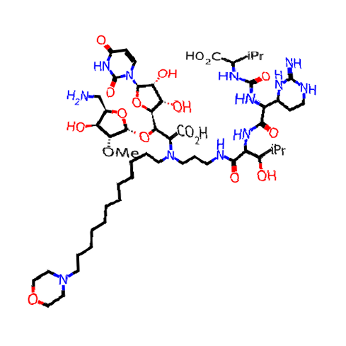 CO[C@H]1[C@@H](OC(C(C(=O)O)N(CCCCCCCCCCCCN2CCOCC2)CCCNC(=O)C(NC(=O)C(NC(=O)NC(C(=O)O)C(C)C)C2CCNC(=N)N2)C(O)C(C)C)[C@H]2O[C@@H](n3ccc(=O)[nH]c3=O)[C@H](O)[C@@H]2O)O[C@H](CN)[C@@H]1O